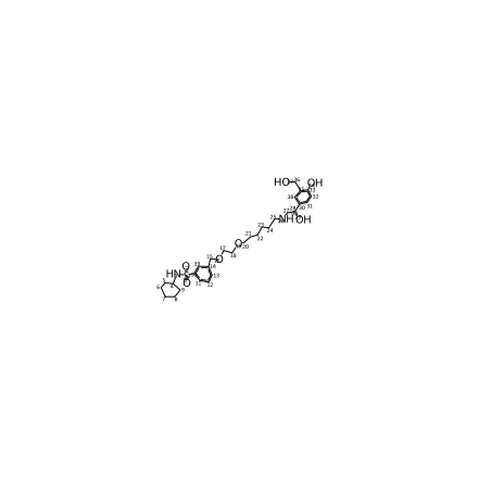 O=S(=O)(NC1CCCCC1)c1cccc(COCCOCCCCCCNC[C@H](O)c2ccc(O)c(CO)c2)c1